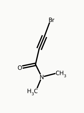 CN(C)C(=O)C#CBr